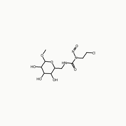 COC1OC(CNC(=O)N(CCCl)N=O)C(O)C(O)C1O